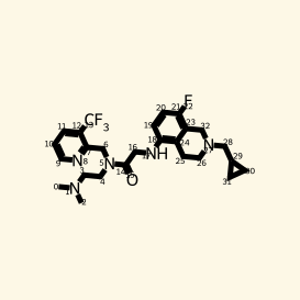 CN(C)CCN(Cc1ncccc1C(F)(F)F)C(=O)CNc1ccc(F)c2c1CCN(CC1CC1)C2